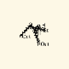 CCCCCCCCC=CCCCCCCCC(=O)OCC(COC(=O)NCCNCC)OC(=O)CCCCCCCC=CCCCCCCCC